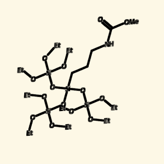 CCO[Si](OCC)(OCC)O[Si](CCCNC(=O)OC)(O[Si](OCC)(OCC)OCC)O[Si](OCC)(OCC)OCC